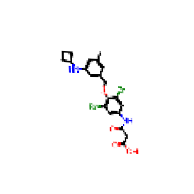 Cc1cc(COc2c(Br)cc(NC(=O)CC(=O)O)cc2Br)cc(NC2CCC2)c1